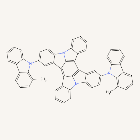 Cc1cccc2c3ccccc3n(-c3ccc4c(c3)c3c5c6ccccc6n6c7ccc(-n8c9ccccc9c9cccc(C)c98)cc7c(c7c8ccccc8n4c73)c56)c12